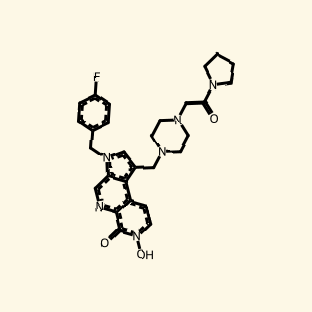 O=C(CN1CCN(Cc2cn(Cc3ccc(F)cc3)c3cnc4c(=O)n(O)ccc4c23)CC1)N1CCCC1